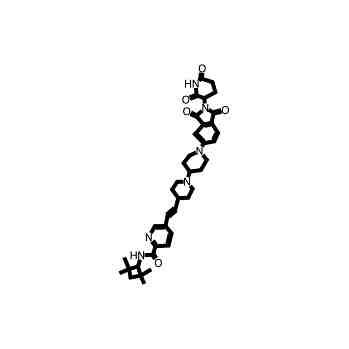 CC1(C)CC(C)(C)C1NC(=O)c1ccc(C#CC2CCN(C3CCN(c4ccc5c(c4)C(=O)N(C4CCC(=O)NC4=O)C5=O)CC3)CC2)cn1